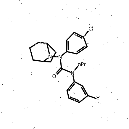 CCCN(C(=O)N(c1ccc(Cl)cc1)N1C2CCCC1CC2)c1cccc(F)c1